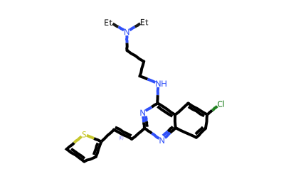 CCN(CC)CCCNc1nc(/C=C/c2cccs2)nc2ccc(Cl)cc12